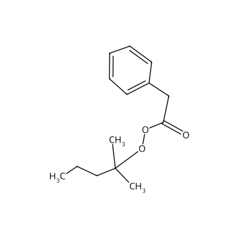 CCCC(C)(C)OOC(=O)Cc1ccccc1